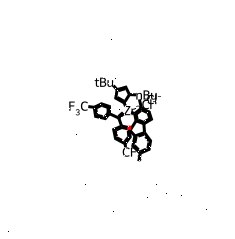 CCCCC1C=C(C(C)(C)C)C=[C]1[Zr+2](=[C](c1ccc(C(F)(F)F)cc1)c1ccc(C(F)(F)F)cc1)[c]1c(C)ccc2c1Cc1cc(C)ccc1-2.[Cl-].[Cl-]